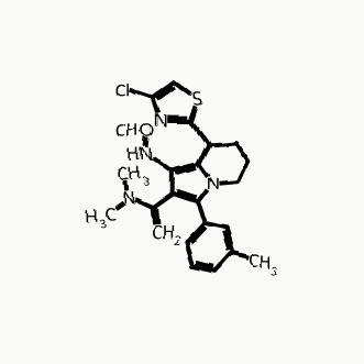 C=C(c1c(NC=O)c2n(c1-c1cccc(C)c1)CCCC2c1nc(Cl)cs1)N(C)C